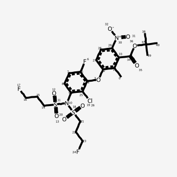 Cc1c(Oc2c(F)ccc(N(S(=O)(=O)CCCF)S(=O)(=O)CCCF)c2Cl)ccc([N+](=O)[O-])c1C(=O)OC(C)(C)C